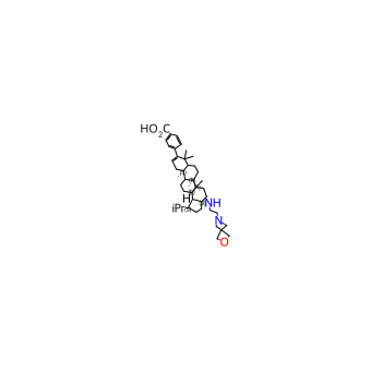 CC(C)[C@@H]1CC[C@]2(NCCN3CC4(COC4)C3)CC[C@]3(C)[C@H](CCC4[C@@]5(C)CC=C(c6ccc(C(=O)O)cc6)C(C)(C)C5CC[C@]43C)C12